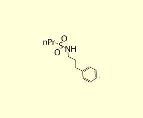 CCCS(=O)(=O)NCCCc1cc[c]cc1